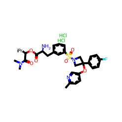 Cc1ccc(OC2(c3ccc(F)cc3)CN(S(=O)(=O)c3cccc(C[C@H](N)C(=O)OC(C(=O)N(C)C)C(C)C)c3)C2)cn1.Cl.Cl